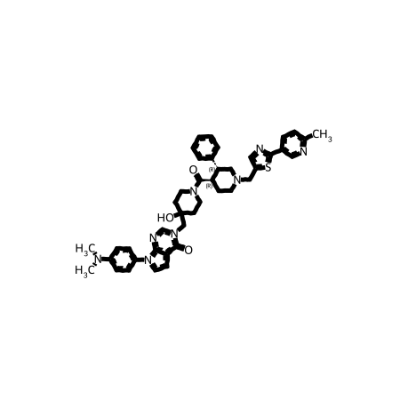 Cc1ccc(-c2ncc(CN3CC[C@@H](C(=O)N4CCC(O)(Cn5cnc6c(ccn6-c6ccc(N(C)C)cc6)c5=O)CC4)[C@H](c4ccccc4)C3)s2)cn1